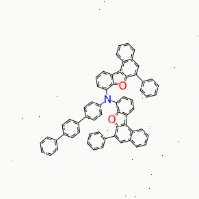 c1ccc(-c2ccc(-c3ccc(N(c4cccc5c4oc4c(-c6ccccc6)cc6ccccc6c45)c4cccc5c4oc4c(-c6ccccc6)cc6ccccc6c45)cc3)cc2)cc1